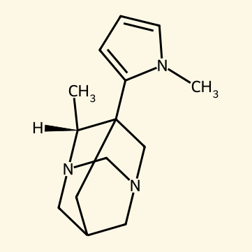 C[C@H]1N2CC3CN(C2)CC1(c1cccn1C)C3